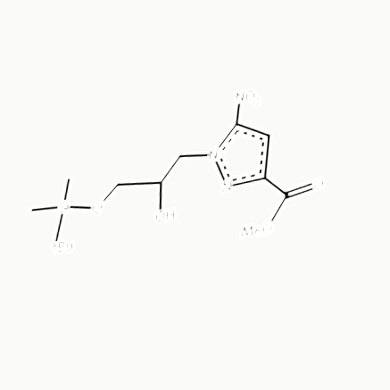 COC(=O)c1cc([N+](=O)[O-])n(CC(O)CO[Si](C)(C)C(C)(C)C)n1